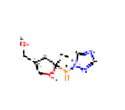 CC1(Pn2cncn2)C[C@H](CO)CO1